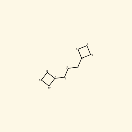 [CH](CC1CCC1)CC1CCC1